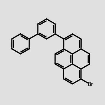 Brc1ccc2ccc3c(-c4cccc(-c5ccccc5)c4)ccc4ccc1c2c43